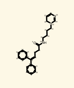 O=C(CCC=C(c1ccccc1)c1ccccc1)NCCCCN1C=NC=CC1